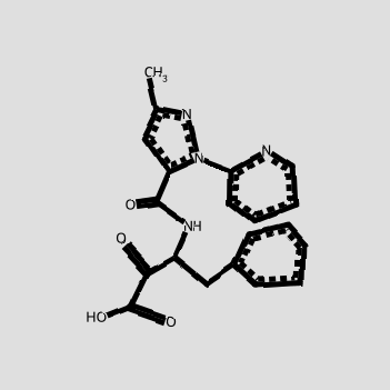 Cc1cc(C(=O)NC(Cc2ccccc2)C(=O)C(=O)O)n(-c2ccccn2)n1